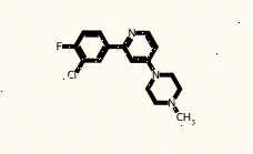 CN1CCN(c2ccnc(-c3ccc(F)c(Cl)c3)c2)CC1